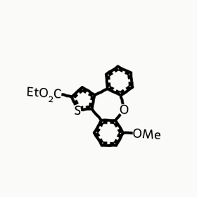 CCOC(=O)c1cc2c(s1)-c1cccc(OC)c1Oc1ccccc1-2